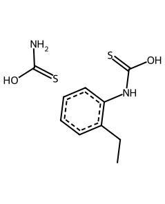 CCc1ccccc1NC(O)=S.NC(O)=S